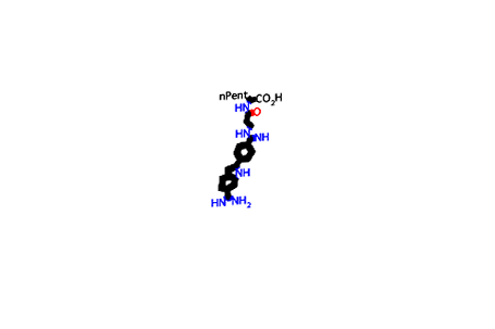 CCCCCC(NC(=O)CCNC(=N)c1ccc(-c2cc3ccc(C(=N)N)cc3[nH]2)cc1)C(=O)O